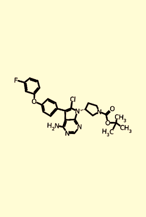 CC(C)(C)OC(=O)N1CC[C@@H](n2c(Cl)c(-c3ccc(Oc4cccc(F)c4)cc3)c3c(N)ncnc32)C1